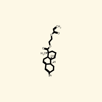 C=CC(=O)OCCOC(=O)[C@]1(C)CCC[C@@]2(C)C1CC=C1C=C(C(C)C)CC[C@@H]12